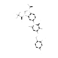 CC(=O)N1CN(C(=O)C(C)(C)O)c2cc(-n3c(C)cc(OCc4ccc(F)cc4F)c(Cl)c3=O)ccc21